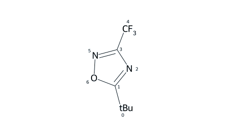 CC(C)(C)c1nc(C(F)(F)F)no1